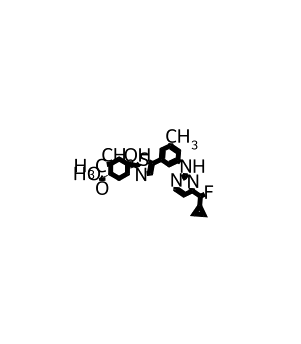 Cc1cc(Nc2nccc(C(F)C3CC3)n2)cc(-c2cnc([C@@]3(O)CC[C@H](C(=O)O)C(C)(C)C3)s2)c1